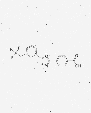 O=C(O)c1ccc(-c2ncc(-c3cccc(CC(F)(F)F)c3)o2)cc1